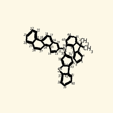 CC1(C)c2ccccc2-c2c(N(c3ccc4c(ccc5c6ccccc6ccc45)c3)c3ccc4c(c3)sc3ccccc34)cccc21